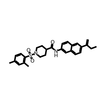 C=C(CC)c1ccc2cc(NC(=O)C3CCN(S(=O)(=O)c4ccc(C)cc4C)CC3)ccc2c1